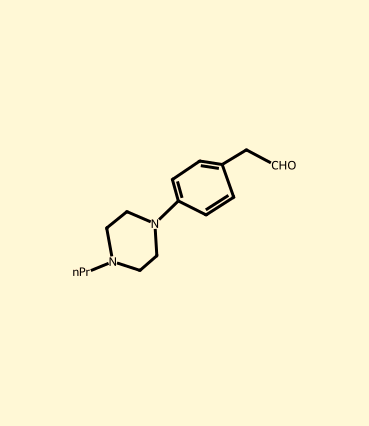 CCCN1CCN(c2ccc(CC=O)cc2)CC1